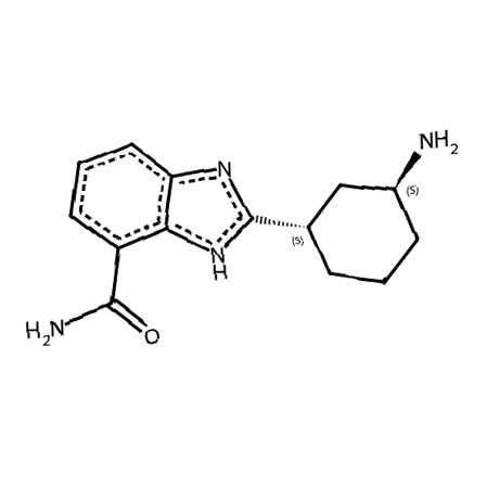 NC(=O)c1cccc2nc([C@H]3CCC[C@H](N)C3)[nH]c12